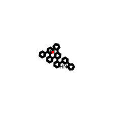 c1ccc(-c2ccccc2-c2ccccc2-c2c(-c3ccccc3-c3cccc4c3[nH]c3ccccc34)ccc3c2[nH]c2ccccc23)cc1